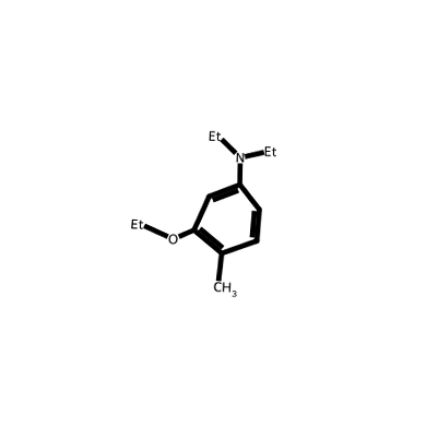 CCOc1cc(N(CC)CC)ccc1C